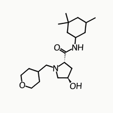 CC1CC(NC(=O)[C@@H]2C[C@@H](O)CN2CC2CCOCC2)CC(C)(C)C1